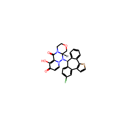 O=C1c2c(O)c(=O)ccn2N([C@@H]2c3ccc(F)cc3-c3ccsc3-c3ccccc32)[C@H]2COCCN12